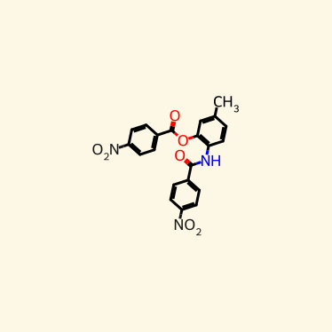 Cc1ccc(NC(=O)c2ccc([N+](=O)[O-])cc2)c(OC(=O)c2ccc([N+](=O)[O-])cc2)c1